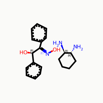 N[C@@H]1CCCC[C@H]1N.O/N=C(\c1ccccc1)[C@H](O)c1ccccc1